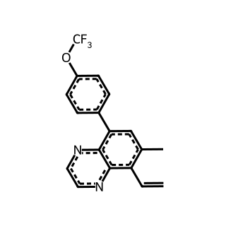 C=Cc1c(C)cc(-c2ccc(OC(F)(F)F)cc2)c2nccnc12